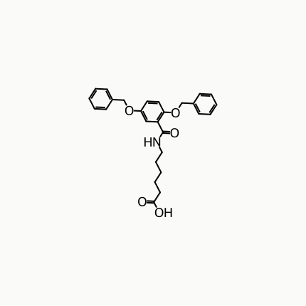 O=C(O)CCCCCNC(=O)c1cc(OCc2ccccc2)ccc1OCc1ccccc1